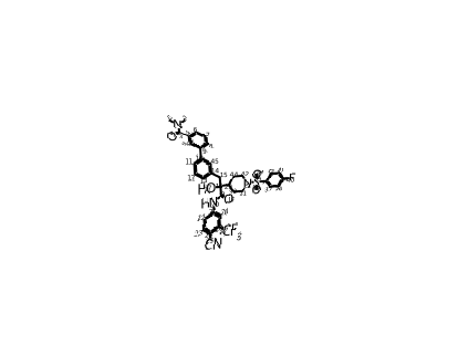 CN(C)C(=O)c1cccc(-c2cccc(CC(O)(C(=O)Nc3ccc(C#N)c(C(F)(F)F)c3)C3CCN(S(=O)(=O)c4ccc(F)cc4)CC3)c2)c1